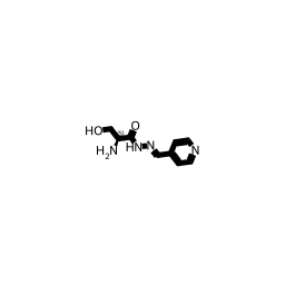 N[C@@H](CO)C(=O)NN=Cc1ccncc1